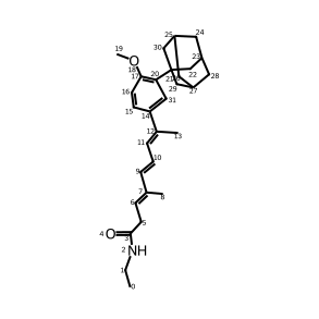 CCNC(=O)C/C=C(C)/C=C/C=C(\C)c1ccc(OC)c(C23CC4CC(CC(C4)C2)C3)c1